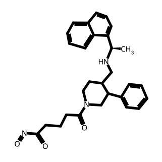 C[C@@H](NCC1CCN(C(=O)CCCC(=O)N=O)CC1c1ccccc1)c1cccc2ccccc12